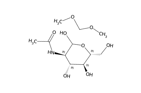 CC(=O)N[C@H]1C(O)O[C@H](CO)[C@@H](O)[C@@H]1O.COCOC